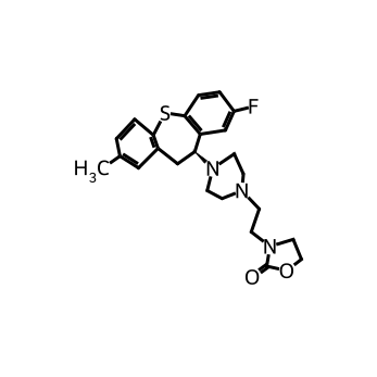 Cc1ccc2c(c1)C[C@H](N1CCN(CCN3CCOC3=O)CC1)c1cc(F)ccc1S2